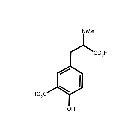 CNC(Cc1ccc(O)c(C(=O)O)c1)C(=O)O